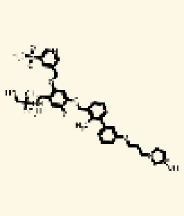 Cc1c(COc2cc(OCc3cncc(S(C)(=O)=O)c3)c(CNC(C)(CO)C(=O)O)cc2Cl)cccc1-c1cccc(OCCCN2CC[C@@H](O)C2)c1